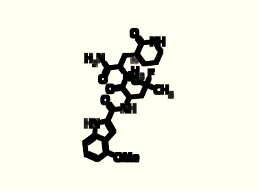 COc1cccc2[nH]c(C(=O)NC(CC(C)(C)F)C(=O)NC(C[C@@H]3CCCNC3=O)C(N)=O)cc12